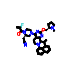 C=C(F)C(=O)N1CCN(c2nc(OC[C@@H]3CCCN3C)nc3c2CCN(c2cccc4cccc(C(C)C)c24)C3)C[C@@H]1CC#N